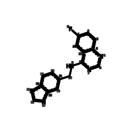 Fc1ccc2ncnc(NCc3ccc4scnc4c3)c2c1